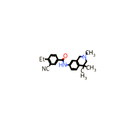 CCc1ccc(C(=O)Nc2ccc3c(c2)CN(C)CC3(C)C)cc1C#N